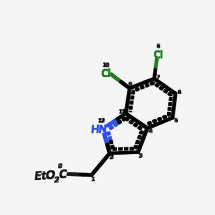 CCOC(=O)Cc1cc2ccc(Cl)c(Cl)c2[nH]1